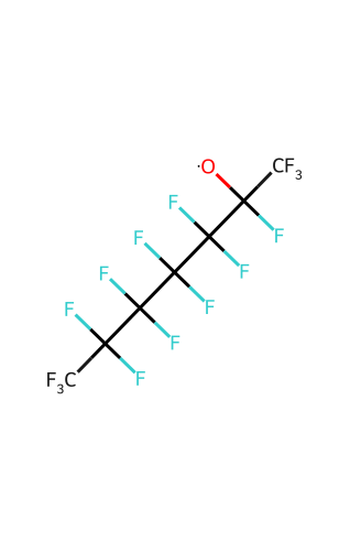 [O]C(F)(C(F)(F)F)C(F)(F)C(F)(F)C(F)(F)C(F)(F)C(F)(F)F